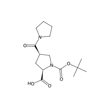 CC(C)(C)OC(=O)N1C[C@H](C(=O)N2CCCC2)C[C@@H]1C(=O)O